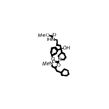 CNCC(CC1CCCCC1)OC(=O)N1CCCC([C@@](O)(CCCNC(=O)OC)c2cccc(Cl)c2)C1